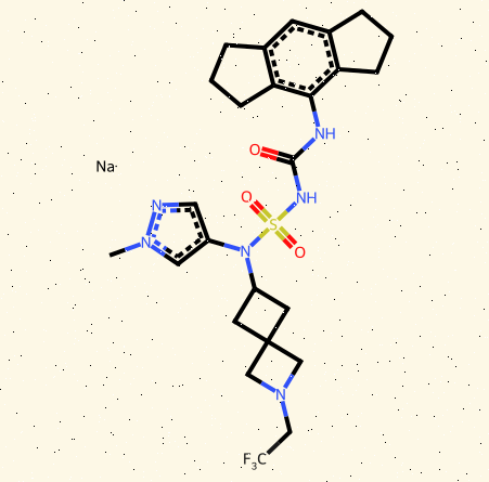 Cn1cc(N(C2CC3(C2)CN(CC(F)(F)F)C3)S(=O)(=O)NC(=O)Nc2c3c(cc4c2CCC4)CCC3)cn1.[Na]